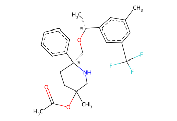 CC(=O)OC1(C)CC[C@@](CO[C@H](C)c2cc(C)cc(C(F)(F)F)c2)(c2ccccc2)NC1